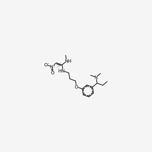 CCC(c1cccc(OCCCN/C(=C\[N+](=O)[O-])NC)c1)N(C)C